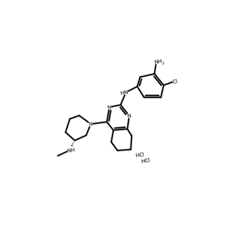 CN[C@@H]1CCCN(c2nc(Nc3ccc(Cl)c(N)c3)nc3c2CCCC3)C1.Cl.Cl